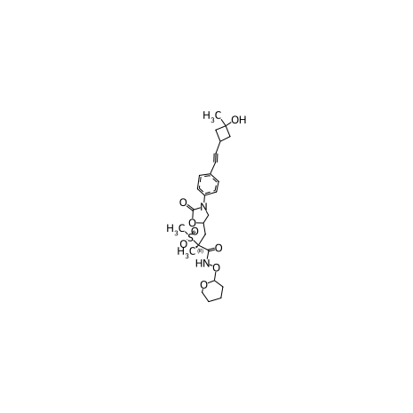 CC1(O)CC(C#Cc2ccc(N3CC(C[C@](C)(C(=O)NOC4CCCCO4)S(C)(=O)=O)OC3=O)cc2)C1